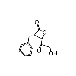 O=C1O[C@@H](C(=O)CO)[C@@H]1Cc1ccccc1